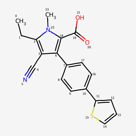 CCc1c(C#N)c(-c2ccc(-c3cccs3)cc2)c(C(=O)O)n1C